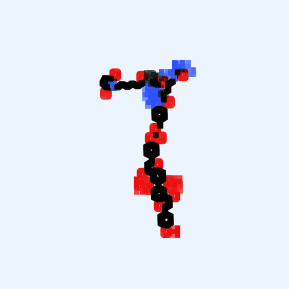 CC(C)[C@H](NC(=O)CCCCCN1C(=O)C=CC1=O)C(=O)N[C@@H](CCCNC(N)=O)C(=O)Nc1ccc(COC(=O)Oc2ccc(-c3cc(=O)c4c(O)c(-c5c(O)cc6oc(C7=CC=C(O)CC7)cc(=O)c6c5O)c(O)cc4o3)cc2)cc1